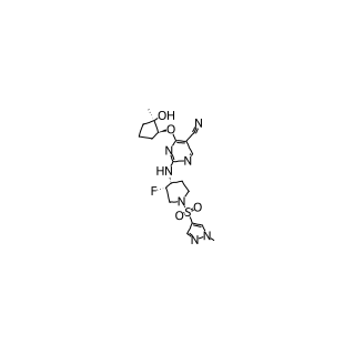 Cn1cc(S(=O)(=O)N2CC[C@@H](Nc3ncc(C#N)c(O[C@H]4CCC[C@@]4(C)O)n3)[C@@H](F)C2)cn1